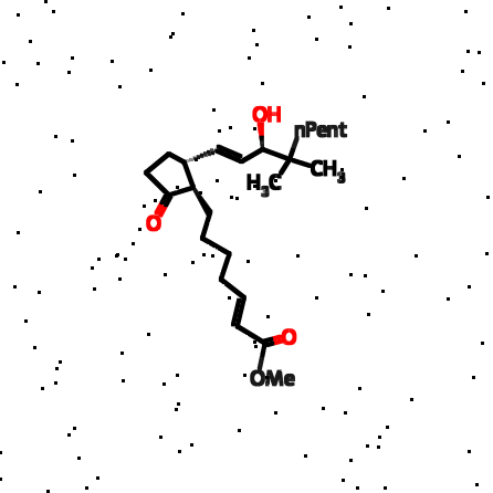 CCCCCC(C)(C)[C@H](O)/C=C/[C@H]1CCC(=O)[C@@H]1CCCC/C=C/C(=O)OC